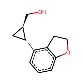 OC[C@@H]1C[C@H]1c1cccc2c1CCO2